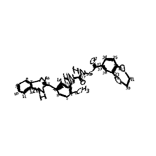 Cc1ccc(-c2nc3ccccc3[nH]2)cc1NC(=O)NSC(=O)c1ccc2c(c1)OCCO2